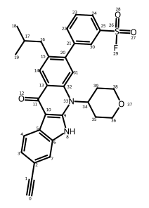 C#Cc1ccc2c(c1)[nH]c1c2c(=O)c2cc(CC(C)C)c(-c3cccc(S(=O)(=O)F)c3)cc2n1C1CCOCC1